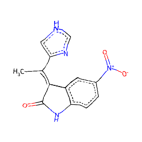 CC(=C1C(=O)Nc2ccc([N+](=O)[O-])cc21)c1c[nH]cn1